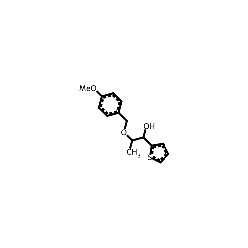 COc1ccc(COC(C)C(O)c2cccs2)cc1